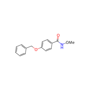 CONC(=O)c1ccc(OCc2ccccc2)cc1